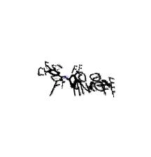 C[C@H](CS(=O)(=O)CC(F)(F)F)NC(=O)c1ccc(/C=C/C(c2cc(Cl)c(F)c(Cl)c2)C(F)(F)F)cc1C(F)(F)F